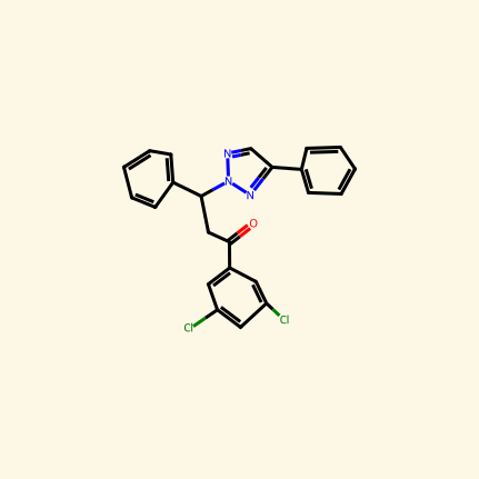 O=C(CC(c1ccccc1)n1ncc(-c2ccccc2)n1)c1cc(Cl)cc(Cl)c1